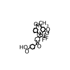 CN(C(=O)c1cccc(-n2nc(C(F)(F)F)c3c2CCN(C(=O)c2ccc(C(=O)O)cc2)C3)c1)c1ccc2c(c1)OCO2